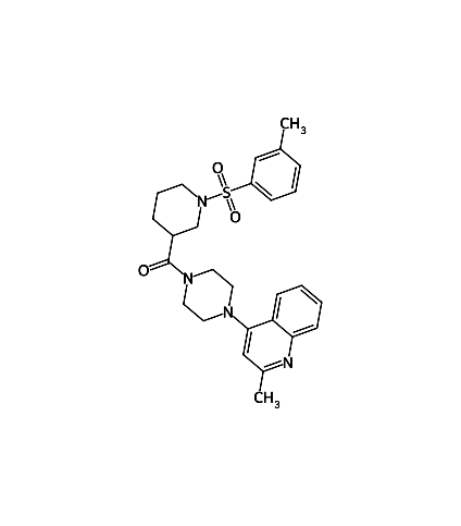 Cc1cccc(S(=O)(=O)N2CCCC(C(=O)N3CCN(c4cc(C)nc5ccccc45)CC3)C2)c1